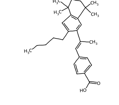 CCCCCc1cc2c(cc1C(C)=Cc1ccc(C(=O)O)cc1)C(C)(C)CCC2(C)C